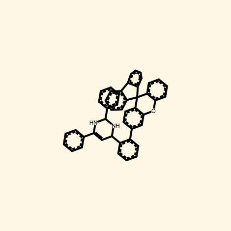 C1=C(c2ccccc2)NC(c2ccccc2)NC1c1ccccc1-c1ccc2c(c1)Oc1ccccc1C21c2ccccc2-c2ccccc21